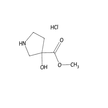 COC(=O)C1(O)CCNC1.Cl